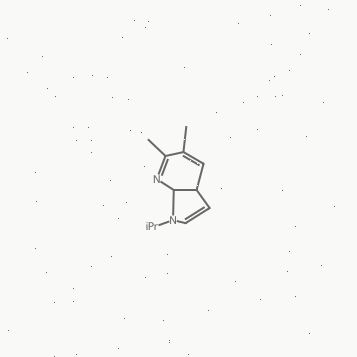 CC1=CC2C=CN(C(C)C)C2N=C1C